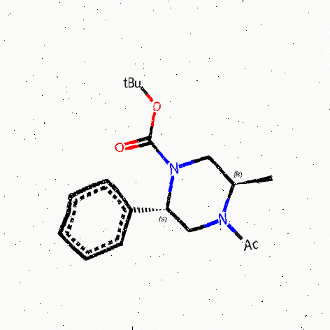 CC(=O)N1C[C@H](c2ccccc2)N(C(=O)OC(C)(C)C)C[C@H]1C